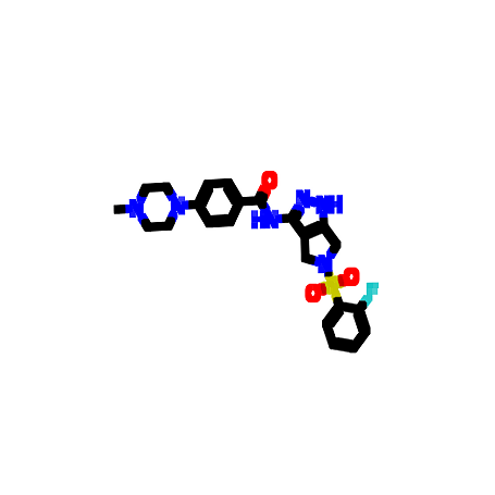 CN1CCN(c2ccc(C(=O)Nc3n[nH]c4c3CN(S(=O)(=O)c3ccccc3F)C4)cc2)CC1